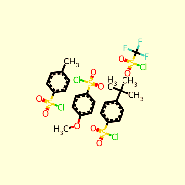 CC(C)(C)c1ccc(S(=O)(=O)Cl)cc1.COc1ccc(S(=O)(=O)Cl)cc1.Cc1ccc(S(=O)(=O)Cl)cc1.O=S(=O)(Cl)C(F)(F)F